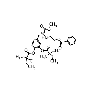 CCC(C)(C)C(=O)Oc1ccc(C[C@H](NCCOC(=O)c2ccccc2)C(=O)OC)cc1OC(=O)C(C)(C)CC